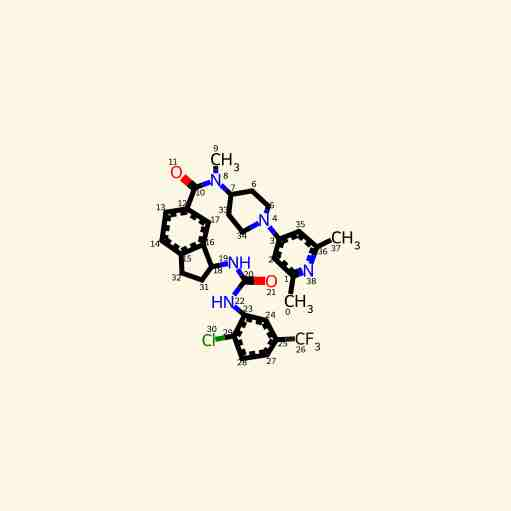 Cc1cc(N2CCC(N(C)C(=O)c3ccc4c(c3)C(NC(=O)Nc3cc(C(F)(F)F)ccc3Cl)CC4)CC2)cc(C)n1